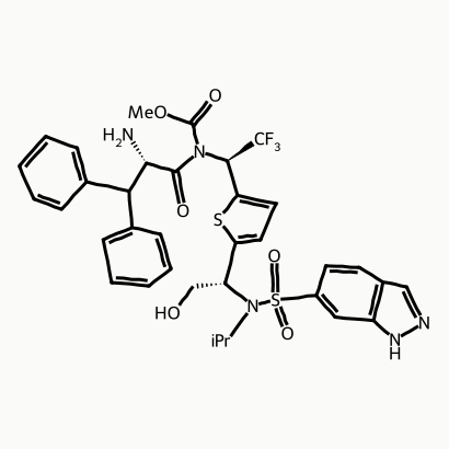 COC(=O)N(C(=O)[C@@H](N)C(c1ccccc1)c1ccccc1)[C@H](c1ccc([C@@H](CO)N(C(C)C)S(=O)(=O)c2ccc3cn[nH]c3c2)s1)C(F)(F)F